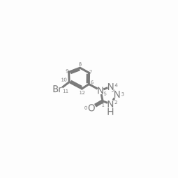 O=c1[nH]nnn1-c1cccc(Br)c1